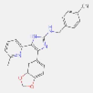 Cc1cccc(-c2[nH]c(NCc3ccc(C#N)cc3)nc2C2=CC=C3OCOC3C2)n1